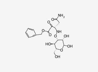 NC(=O)C[C@H](NO[C@H]1[C@H](O)[C@@H](CO)OC(O)[C@H]1O)C(=O)C(=O)OCc1ccccc1